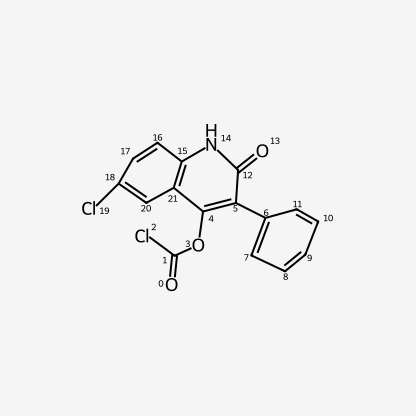 O=C(Cl)Oc1c(-c2ccccc2)c(=O)[nH]c2ccc(Cl)cc12